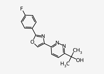 CC(C)(O)c1ccc(-c2coc(-c3ccc(F)cc3)n2)nn1